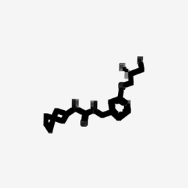 O=C(NCc1ccnc(OC[C@H](F)CF)c1)NC1CC2(CCC2)C1